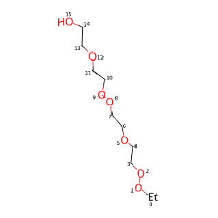 CCOOCCOCCOOCCOCCO